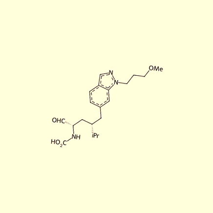 COCCCn1ncc2ccc(C[C@@H](C[C@@H](C=O)NC(=O)O)C(C)C)cc21